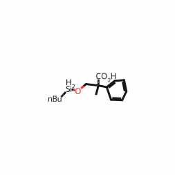 CCCC[SiH2]OCC(C)(C(=O)O)c1ccccc1